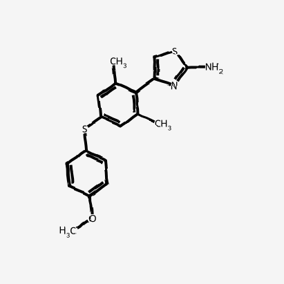 COc1ccc(Sc2cc(C)c(-c3csc(N)n3)c(C)c2)cc1